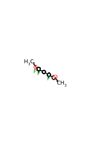 C/C=C/C1CCC(c2ccc(-c3ccc(-c4ccc(OCCCC)c(F)c4F)cc3)cc2F)CO1